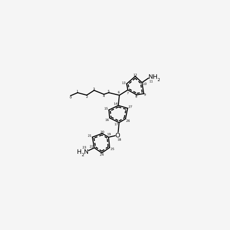 CCCCCCC(c1ccc(N)cc1)c1ccc(Oc2ccc(N)cc2)cc1